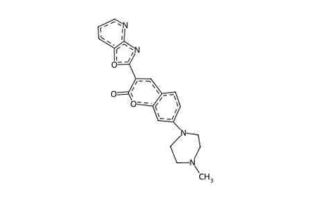 CN1CCN(c2ccc3cc(-c4nc5ncccc5o4)c(=O)oc3c2)CC1